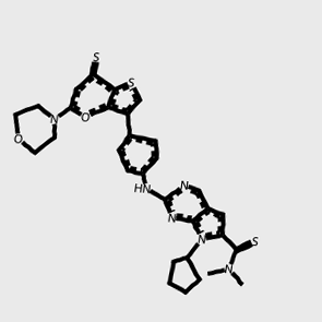 CN(C)C(=S)c1cc2cnc(Nc3ccc(-c4csc5c(=S)cc(N6CCOCC6)oc45)cc3)nc2n1C1CCCC1